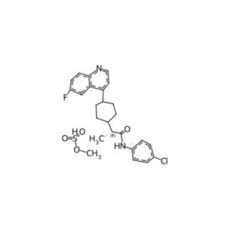 CO[SH](=O)=O.C[C@@H](C(=O)Nc1ccc(Cl)cc1)C1CCC(c2ccnc3ccc(F)cc23)CC1